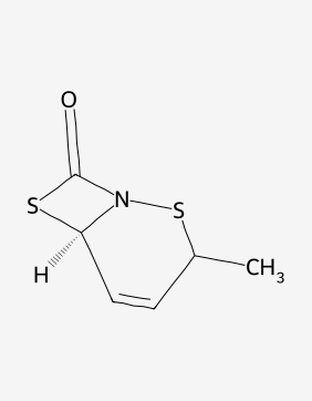 CC1C=C[C@H]2SC(=O)N2S1